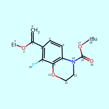 C=C(OCC)c1ccc2c(c1F)OCCN2C(=O)OC(C)(C)C